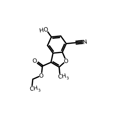 CCOC(=O)c1c(C)oc2c(C#N)cc(O)cc12